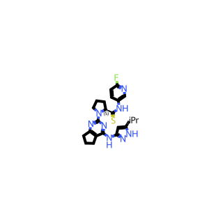 CC(C)c1cc(Nc2nc(N3CCC[C@H]3C(=S)Nc3ccc(F)nc3)nc3c2CCC3)n[nH]1